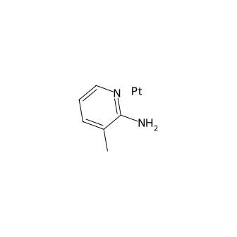 Cc1cccnc1N.[Pt]